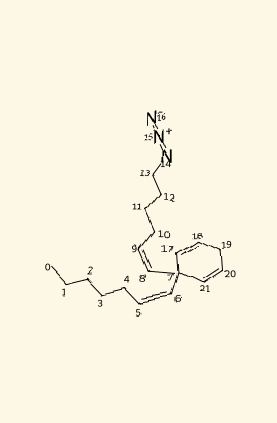 CCCCC/C=C\C1(/C=C\CCCCN=[N+]=[N-])C=CCC=C1